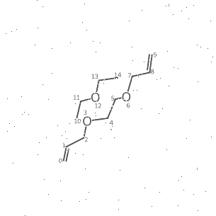 C=CCOCCOCC=C.CCOCC